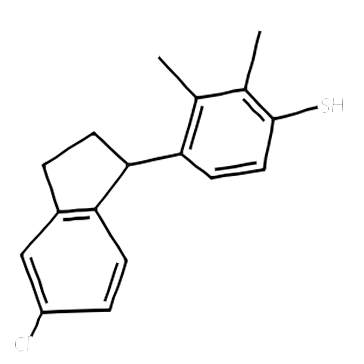 Cc1c(S)ccc(C2CCc3cc(Cl)ccc32)c1C